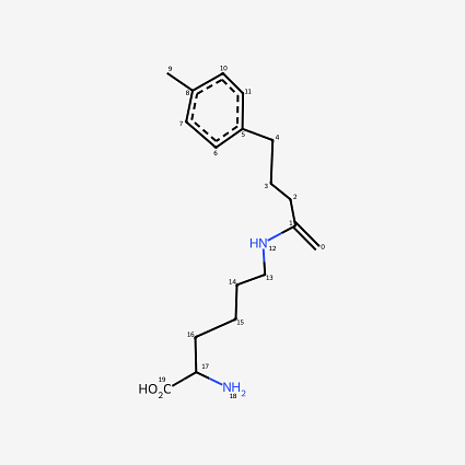 C=C(CCCc1ccc(C)cc1)NCCCCC(N)C(=O)O